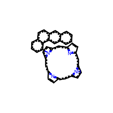 C1=Cc2cc3ccc(cc4nc(cc5ccc(cc1n2)[nH]5)C=C4)n3-c1cccc2ccc3cc4ccccc4cc3c12